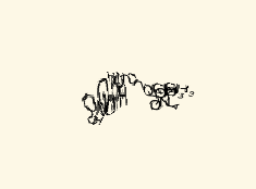 COC(CN(CC1CC1)C(=O)CCOCCc1ccc(CN2C[C@H]3C[C@H](OC(=O)Nc4ccccc4-c4ccccc4)C[C@H]3C2)cc1)OC